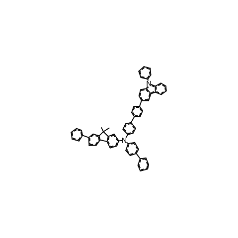 CC1(C)c2cc(-c3ccccc3)ccc2-c2ccc(N(c3ccc(-c4ccccc4)cc3)c3ccc(-c4ccc(-c5ccc6c(c5)c5ccccc5n6-c5ccccc5)cc4)cc3)cc21